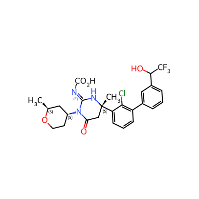 C[C@H]1C[C@@H](N2C(=O)C[C@@](C)(c3cccc(-c4cccc(C(O)C(F)(F)F)c4)c3Cl)N/C2=N\C(=O)O)CCO1